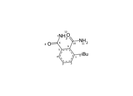 CCC(C)c1cccc(C(N)=O)c1C(N)=O